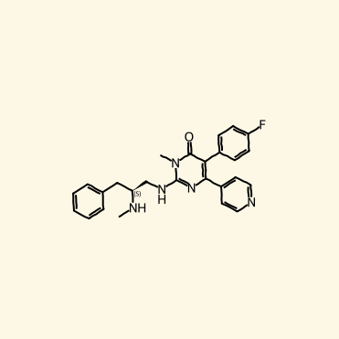 CN[C@H](CNc1nc(-c2ccncc2)c(-c2ccc(F)cc2)c(=O)n1C)Cc1ccccc1